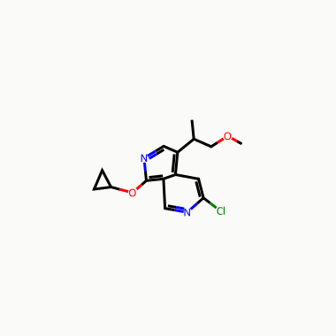 COCC(C)c1cnc(OC2CC2)c2cnc(Cl)cc12